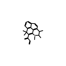 C=CC(=C)C1=C2c3c(ccc4cccc(c34)C1(C)C)C(C)C(C)N2C